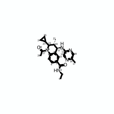 CCNC(=O)c1ccc2c(c1)[C@H](Nc1cnc(C)cn1)[C@@H](C)C(C1CC1)N2C(C)=O